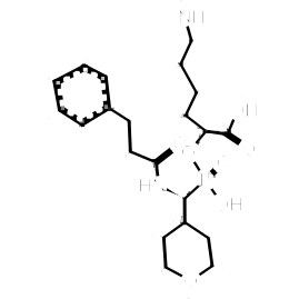 NCCCCC(OP(=O)(O)[C@H](NC(=O)CCc1ccccc1)C1CCOCC1)C(=O)O